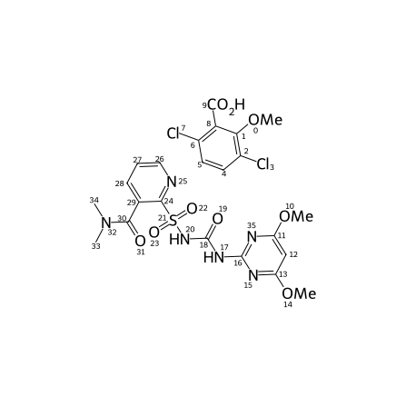 COc1c(Cl)ccc(Cl)c1C(=O)O.COc1cc(OC)nc(NC(=O)NS(=O)(=O)c2ncccc2C(=O)N(C)C)n1